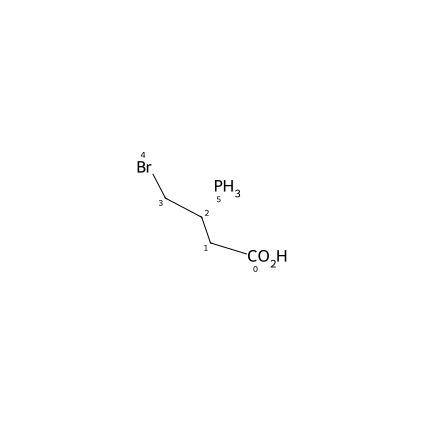 O=C(O)CCCBr.P